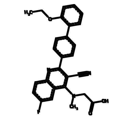 CCOc1ccccc1-c1ccc(-c2nc3ccc(F)cc3c(N(C)CC(=O)O)c2C#N)cc1